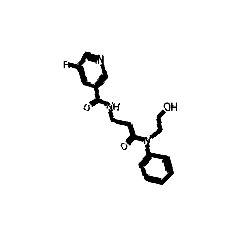 O=C(NCCC(=O)N(CCO)c1ccccc1)c1cncc(F)c1